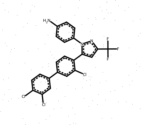 Nc1ccc(-n2nc(C(F)(F)F)cc2-c2ccc(-c3ccc(Cl)c(Cl)c3)cc2Cl)cc1